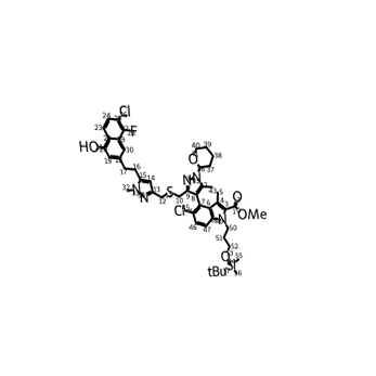 COC(=O)c1c(C)c2c(-c3c(CSCc4cc(CCc5cc(O)c6ccc(Cl)c(F)c6c5)n(C)n4)nn(C4CCCCO4)c3C)c(Cl)ccc2n1CCCO[Si](C)(C)C(C)(C)C